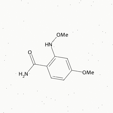 CONc1cc(OC)ccc1C(N)=O